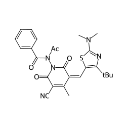 CC(=O)N(C(=O)c1ccccc1)N1C(=O)C(C#N)=C(C)/C(=C/c2sc(N(C)C)nc2C(C)(C)C)C1=O